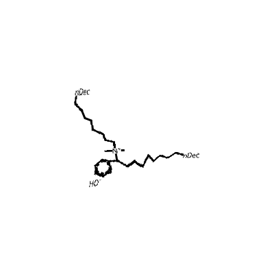 CCCCCCCCCCCCCCCCCCC(c1ccccc1)[N+](C)(C)CCCCCCCCCCCCCCCCCC.[OH-]